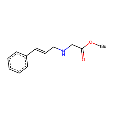 CC(C)(C)OC(=O)CNC/C=C/c1ccccc1